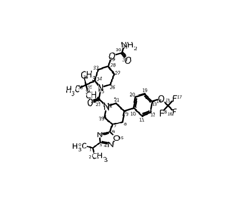 CC(C)c1noc(C2CC(c3ccc(OC(F)(F)F)cc3)CN(C(=O)N3CCC(OC(N)=O)CC3C(C)(C)C)C2)n1